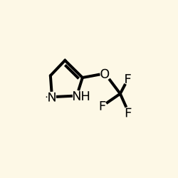 FC(F)(F)OC1=CC[N]N1